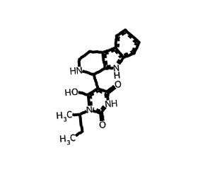 CCC(C)n1c(O)c(C2NCCc3c2[nH]c2ccccc32)c(=O)[nH]c1=O